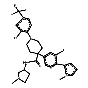 CN1CC[C@H](NC(=O)C2(c3cnc(-c4cccn4C)c(F)c3)CCN(c3ccc(C(F)(F)F)cc3Cl)CC2)C1